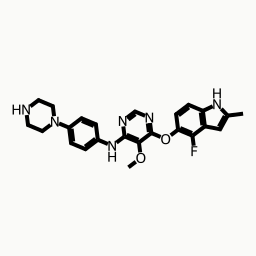 COc1c(Nc2ccc(N3CCNCC3)cc2)ncnc1Oc1ccc2[nH]c(C)cc2c1F